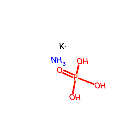 N.O=P(O)(O)O.[K]